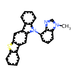 Cn1cnc2c(-n3c4ccccc4c4cc5sc6ccccc6c5cc43)cccc21